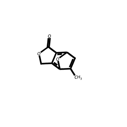 Cc1cc2oc1c1c2C(=O)OC1